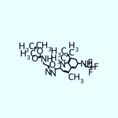 Cc1cc(-c2nnc(CNC(=O)OC(C)(C)C)o2)nc2c1=CC(NCC(F)(F)F)CC=2C(C)(C)C